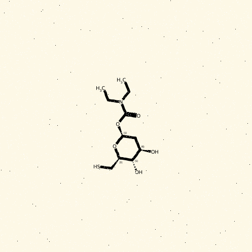 CCN(CC)C(=O)O[C@H]1C[C@@H](O)[C@H](O)[C@@H](CS)O1